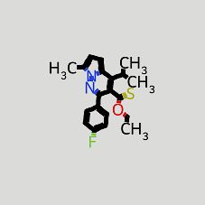 CCOC(=S)c1c(-c2ccc(F)cc2)nn2c(C)ccc2c1C(C)C